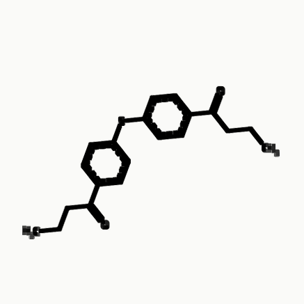 CCCC(=O)c1ccc(Sc2ccc(C(=O)CCC)cc2)cc1